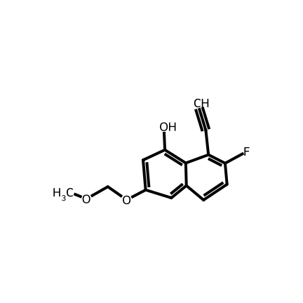 C#Cc1c(F)ccc2cc(OCOC)cc(O)c12